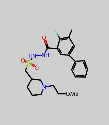 COCCN1CCCC(CS(=O)(=O)NNC(=O)c2cc(-c3ccccc3)cc(C)c2F)C1